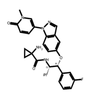 CC(C)[C@H](NC(=O)C1(N)CC1)[C@H](Oc1ccc2c(cnn2-c2ccc(=O)n(C)c2)c1)c1cccc(F)c1